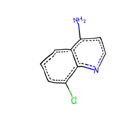 Nc1ccnc2c(Cl)cccc12